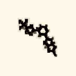 Cc1cn2cc(-c3cccc(-c4noc(C(F)(F)F)n4)c3)nc2s1